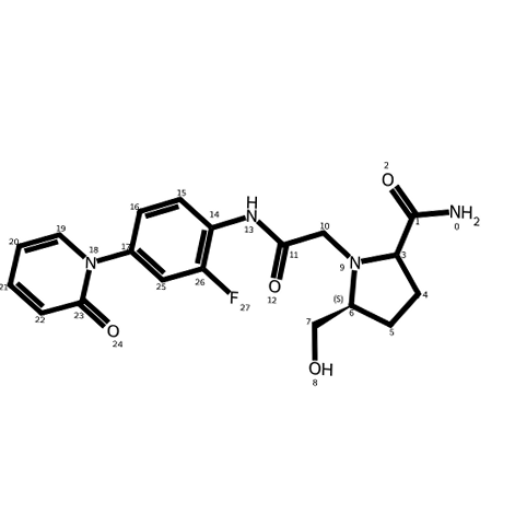 NC(=O)C1[CH]C[C@@H](CO)N1CC(=O)Nc1ccc(-n2ccccc2=O)cc1F